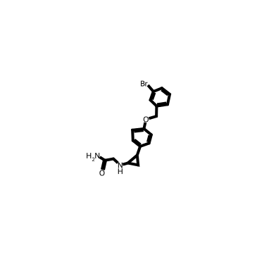 NC(=O)CNC1CC1c1ccc(OCc2cccc(Br)c2)cc1